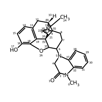 CN1C(=O)CN(C2CC[C@@]3(O)[C@H]4Cc5ccc(O)c6c5[C@@]3(CCN4C)C2O6)c2ccccc21